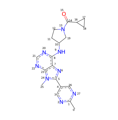 Cc1ncc(-c2nc3c(NC4CCN(C(=O)C5CC5)C4)ncnc3n2C)cn1